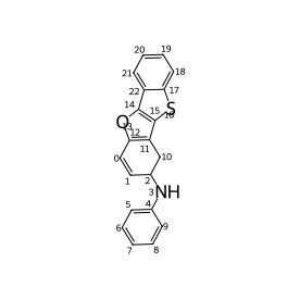 C1=CC(Nc2ccccc2)Cc2c1oc1c2sc2ccccc21